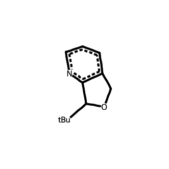 CC(C)(C)C1OCc2cccnc21